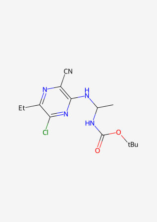 CCc1nc(C#N)c(NC(C)NC(=O)OC(C)(C)C)nc1Cl